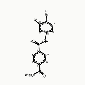 COC(=O)c1ccc(C(=O)Nc2ccc(Br)c(C)c2)cc1